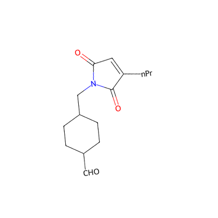 CCCC1=CC(=O)N(CC2CCC(C=O)CC2)C1=O